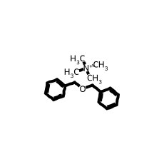 C[N+](C)(C)C.c1ccc(COCc2ccccc2)cc1